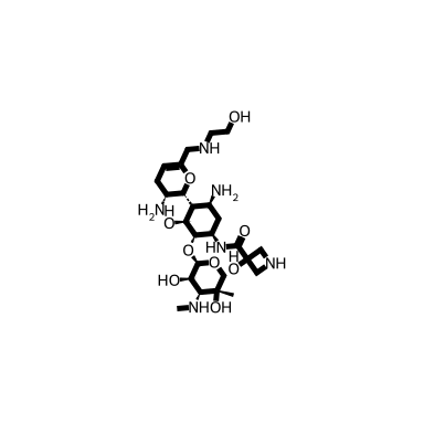 CN[C@@H]1[C@@H](O)[C@@H](O[C@H]2[C@H](NC(=O)C3(O)CNC3)C[C@H](N)C([C@H]3OC(CNCCO)=CC[C@H]3N)[C@@H]2O)OC[C@]1(C)O